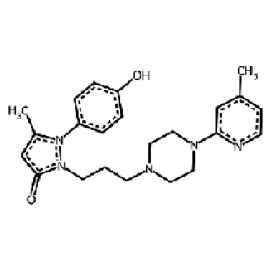 Cc1ccnc(N2CCN(CCCn3c(=O)cc(C)n3-c3ccc(O)cc3)CC2)c1